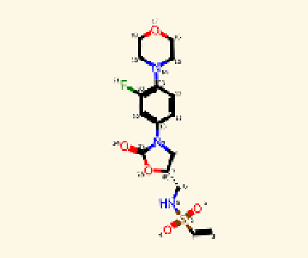 C=CS(=O)(=O)NC[C@H]1CN(c2ccc(N3CCOCC3)c(F)c2)C(=O)O1